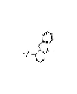 CC1CCCC(C)[C]1Cc1ccccc1